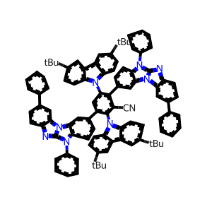 CC(C)(C)c1ccc2c(c1)c1cc(C(C)(C)C)ccc1n2-c1cc(-c2ccc3c(c2)n2c4cc(-c5ccccc5)ccc4nc2n3-c2ccccc2)c(-n2c3ccc(C(C)(C)C)cc3c3cc(C(C)(C)C)ccc32)c(C#N)c1-c1ccc2c(c1)n1c3cc(-c4ccccc4)ccc3nc1n2-c1ccccc1